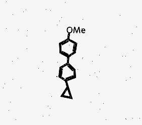 COc1ccc(-c2c[c]c(C3CC3)cc2)cc1